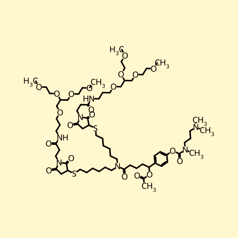 COCCOCC(COCCCNC(=O)CCN1C(=O)CC(SCCCCCCN(CCCCCCSC2CC(=O)N(CCC(=O)NCCCOCC(COCCOC)OCCOC)C2=O)C(=O)CCCC(OC(C)=O)c2ccc(OC(=O)N(C)CCCN(C)C)cc2)C1=O)OCCOC